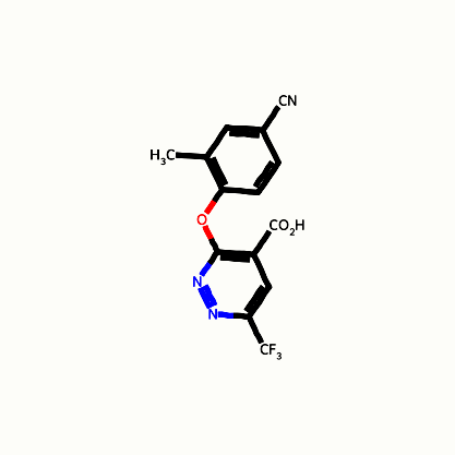 Cc1cc(C#N)ccc1Oc1nnc(C(F)(F)F)cc1C(=O)O